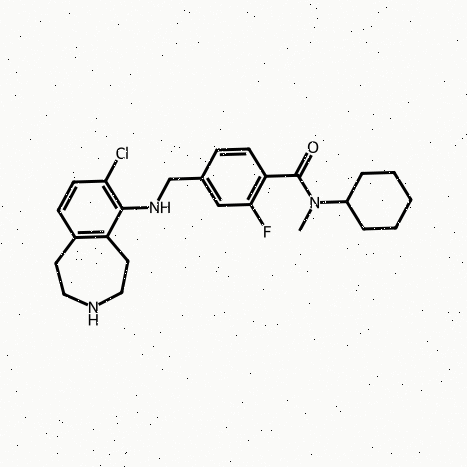 CN(C(=O)c1ccc(CNc2c(Cl)ccc3c2CCNCC3)cc1F)C1CCCCC1